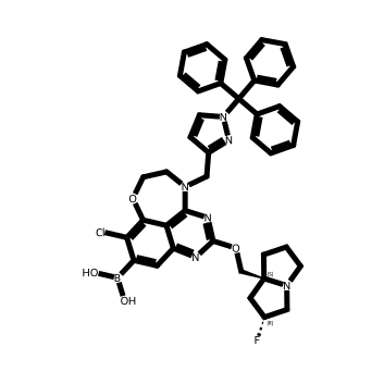 OB(O)c1cc2nc(OC[C@@]34CCCN3C[C@H](F)C4)nc3c2c(c1Cl)OCCN3Cc1ccn(C(c2ccccc2)(c2ccccc2)c2ccccc2)n1